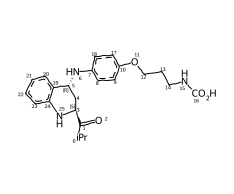 CC(C)C(=O)[C@@H]1C[C@@H](Nc2ccc(OCCCNC(=O)O)cc2)c2ccccc2N1